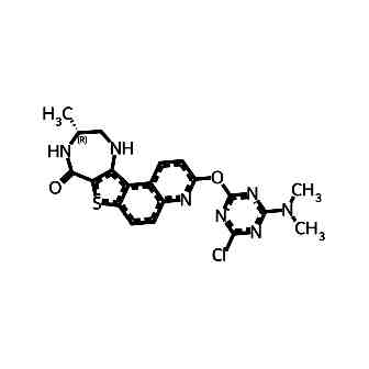 C[C@@H]1CNc2c(sc3ccc4nc(Oc5nc(Cl)nc(N(C)C)n5)ccc4c23)C(=O)N1